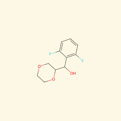 OC(c1c(F)cccc1F)C1COCCO1